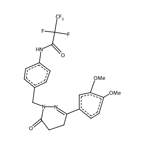 COc1ccc(C2=NN(Cc3ccc(NC(=O)C(F)(F)C(F)(F)F)cc3)C(=O)CC2)cc1OC